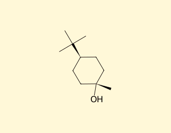 CC(C)(C)[C@H]1CC[C@](C)(O)CC1